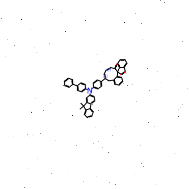 C=C1/C=C\C=C(\c2ccc(N(c3ccc(-c4ccccc4)cc3)c3ccc4c(c3)C(C)(C)c3ccccc3-4)cc2)Cc2ccccc2C12c1ccccc1-c1ccccc12